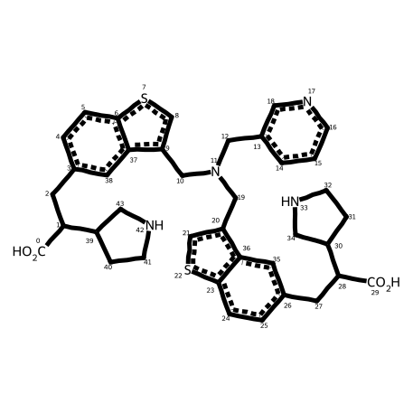 O=C(O)C(Cc1ccc2scc(CN(Cc3cccnc3)Cc3csc4ccc(CC(C(=O)O)C5CCNC5)cc34)c2c1)C1CCNC1